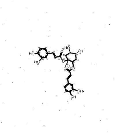 O=C(/C=C/c1ccc(O)c(O)c1)OC1C[C@@H](O)[C@H](O)C[C@]1(OC(=O)/C=C/c1ccc(O)c(O)c1)C(=O)O